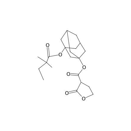 CCC(C)(C)C(=O)OC12CC3CC(CC(OC(=O)C4CCOC4=O)(C3)C1)C2